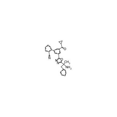 C[C@@](N)(Cc1ccccc1)c1nnc(-c2cc(C(=O)C3CC3)cc(-c3ccccc3C#N)c2)o1